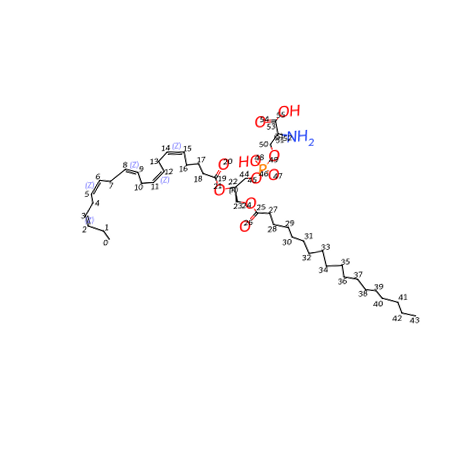 CC/C=C\C/C=C\C/C=C\C/C=C\C/C=C\CCCC(=O)O[C@H](COC(=O)CCCCCCCCCCCCCCCCC)COP(=O)(O)OC[C@H](N)C(=O)O